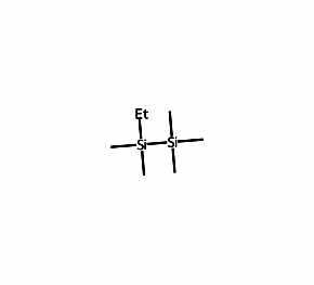 CC[Si](C)(C)[Si](C)(C)C